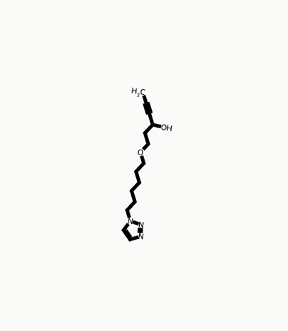 CC#CC(O)CCOCCCCCCn1ccnn1